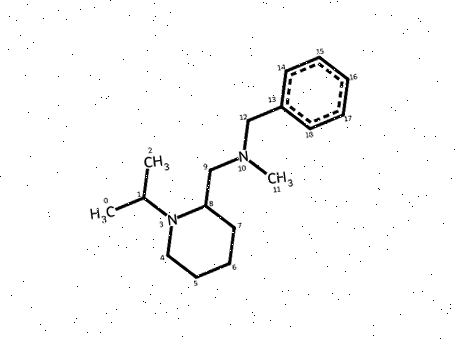 CC(C)N1CCCCC1CN(C)Cc1ccccc1